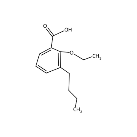 CCCCc1cccc(C(=O)O)c1OCC